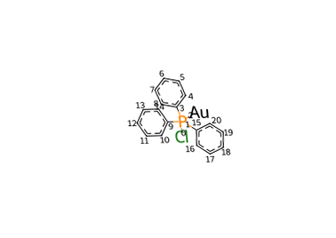 Cl[P]([Au])(c1ccccc1)(c1ccccc1)c1ccccc1